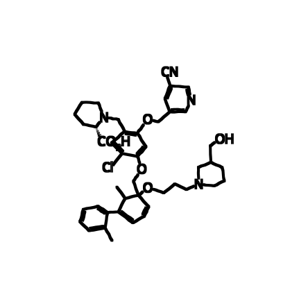 Cc1ccccc1C1=CC=CC(COc2cc(OCc3cncc(C#N)c3)c(CN3CCCC[C@H]3C(=O)O)cc2Cl)(OCCCN2CCCC(CO)C2)C1C